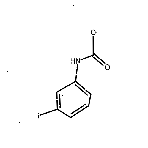 [O]C(=O)Nc1cccc(I)c1